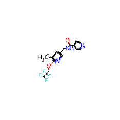 Cc1cc(CNC(=O)c2ccncc2)cnc1OCC(F)(F)C(F)F